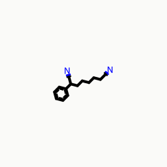 N#CCCCCCC(C#N)c1ccccc1